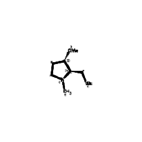 CO[C@H]1CCN(C)[C@@H]1CC(C)(C)C